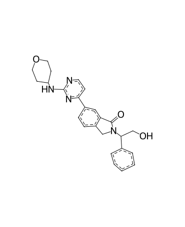 O=C1c2cc(-c3ccnc(NC4CCOCC4)n3)ccc2CN1C(CO)c1ccccc1